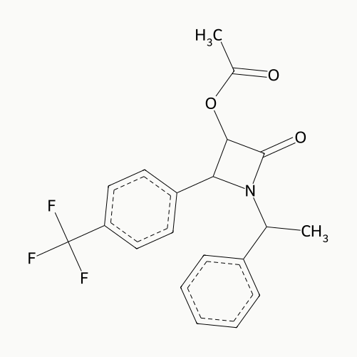 CC(=O)OC1C(=O)N(C(C)c2ccccc2)C1c1ccc(C(F)(F)F)cc1